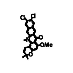 COc1cc2c(c3c1c(=O)c1cc4cc(Cl)c(Cl)cc4cc1n3C)C=CC(C)(C)O2